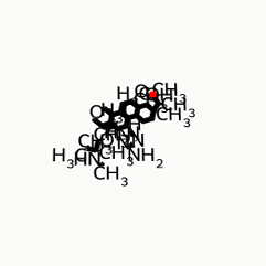 CCN[C@](C)(CO[C@H]1[C@H](n2nnc(N)n2)C[C@@]23COC[C@]1(C)[C@@H]2CC[C@H]1C3=CC[C@@]2(C)[C@H](C(=O)O)[C@@](C)([C@H](C)C(C)C)CC[C@]12C)C(C)C